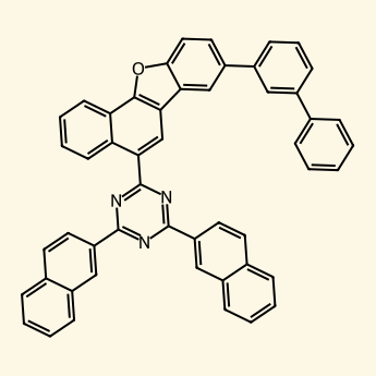 c1ccc(-c2cccc(-c3ccc4oc5c6ccccc6c(-c6nc(-c7ccc8ccccc8c7)nc(-c7ccc8ccccc8c7)n6)cc5c4c3)c2)cc1